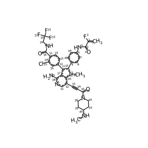 C=C(F)C(=O)Nc1ccc(-c2c(-c3ccc(C(=O)NCC(F)(F)F)c(Cl)c3)c3c(N)ncc(C#CC(=O)N4CCC(NC)CC4)c3n2C)cc1